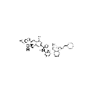 CO/C(=C/c1c(Cl)cc(C(=O)Nc2nc(-c3cccc(OCCC4CCCCC4)c3C)cs2)cc1Cl)C(=O)O